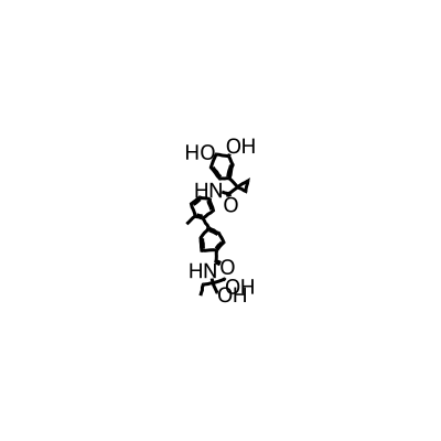 CCC(CO)(CO)NC(=O)c1ccc(-c2cc(NC(=O)C3(C4=CC(O)C(O)C=C4)CC3)ccc2C)cc1